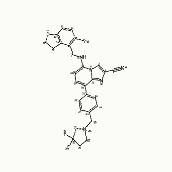 N#Cc1cn2c(NCc3c(F)ccc4c3CCO4)ncc(-c3ccc(CN4CCC(F)(F)C4)cc3)c2n1